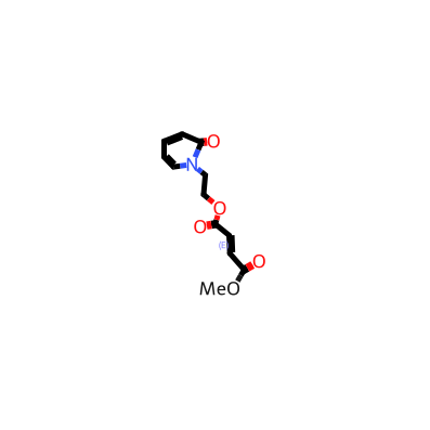 COC(=O)/C=C/C(=O)OCCn1ccccc1=O